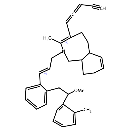 C#CC=C=C/C1=C(\C)N(C/C=C/c2ccccc2CC(OC)c2ccccc2C)CC2CCC=CC2CC1